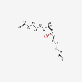 C=CCCCCCC(=O)C=C(C)CCCCCC=C